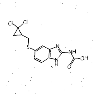 O=C(O)Nc1nc2cc(SCC3CC3(Cl)Cl)ccc2[nH]1